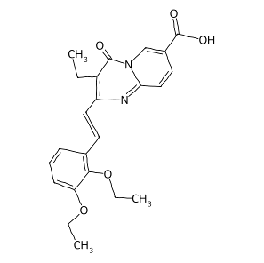 CCOc1cccc(C=Cc2nc3ccc(C(=O)O)cn3c(=O)c2CC)c1OCC